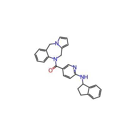 O=C(c1ccc(NC2CCc3ccccc32)nc1)N1Cc2cccn2Cc2ccccc21